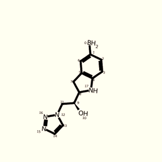 Bc1ccc2c(c1)CC([C@@H](O)Cn1ccnn1)N2